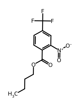 CCCCOC(=O)c1ccc(C(F)(F)F)cc1[N+](=O)[O-]